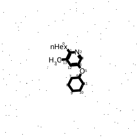 CCCCCCc1ncc(OC2CCCCC2)cc1C